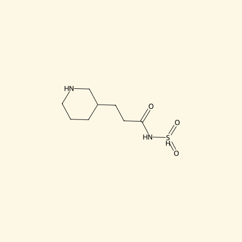 O=C(CCC1CCCNC1)N[SH](=O)=O